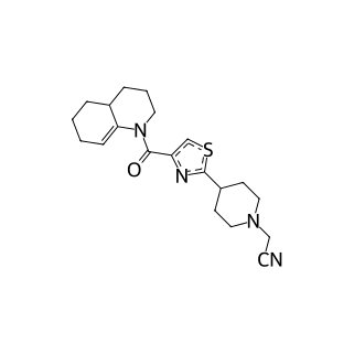 N#CCN1CCC(c2nc(C(=O)N3CCCC4CCCC=C43)cs2)CC1